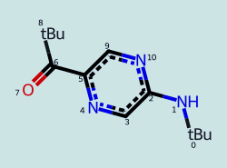 CC(C)(C)Nc1cnc(C(=O)C(C)(C)C)cn1